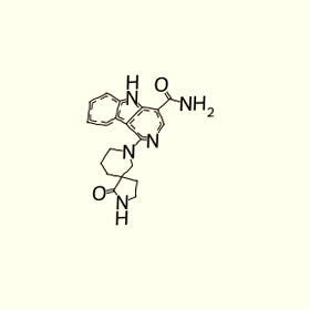 NC(=O)c1cnc(N2CCCC3(CCNC3=O)C2)c2c1[nH]c1ccccc12